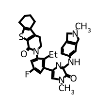 CCc1c(-c2cn(C)c(=O)c(Nc3ccc4c(c3)CN(C)C4)n2)cc(F)cc1N1CCc2c(sc3c2CCCC3)C1=O